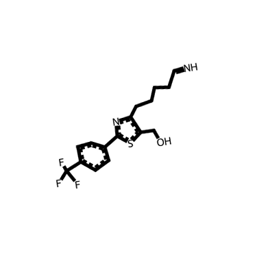 N=CCCCCc1nc(-c2ccc(C(F)(F)F)cc2)sc1CO